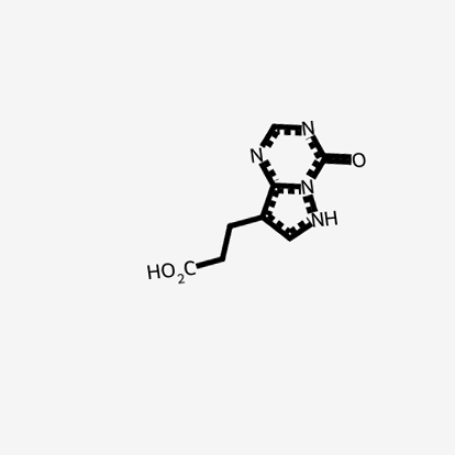 O=C(O)CCc1c[nH]n2c(=O)ncnc12